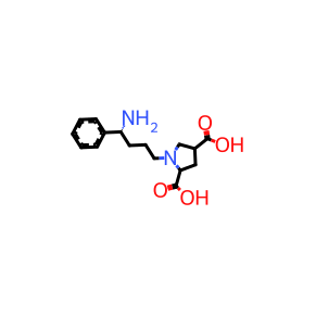 N[C@H](CCCN1CC(C(=O)O)CC1C(=O)O)c1ccccc1